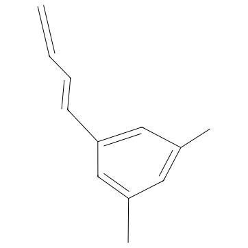 C=CC=Cc1cc(C)cc(C)c1